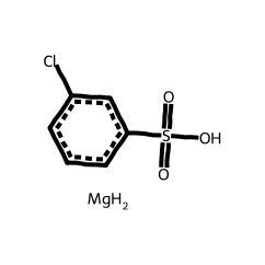 O=S(=O)(O)c1cccc(Cl)c1.[MgH2]